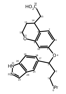 CC(C)CCC(Oc1ccc2c(c1)OCCC2CC(=O)O)c1ccc2[nH]ncc2c1